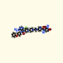 Nc1ncnc2c1n(-c1ccc(Oc3ccccc3)cc1)c(=O)n2[C@@H]1CCN(C2CCN(C3CN(c4ccc(C(=O)N[C@H]5CCC(=O)NC5=O)nc4)C3)CC2)CC1(F)F